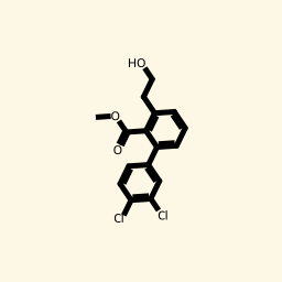 COC(=O)c1c(CCO)cccc1-c1ccc(Cl)c(Cl)c1